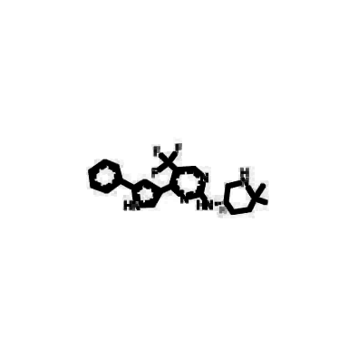 CC1(C)CC[C@H](Nc2ncc(C(F)(F)F)c(-c3c[nH]c(-c4ccccc4)c3)n2)CN1